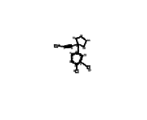 CCC#CC1(c2ccc(Cl)c(Cl)c2)CCCC1